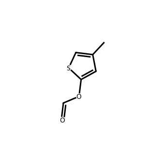 Cc1csc(OC=O)c1